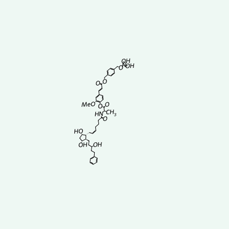 COc1cc(/C=C/C(=O)OCc2ccc(CON(O)O)cc2)ccc1OC(=O)C(C)NC(=O)CCC/C=C\C[C@@H]1[C@@H](CC[C@@H](O)CCc2ccccc2)[C@H](O)C[C@@H]1O